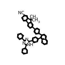 CC1(C)c2cc(C#N)ccc2-c2ccc(-c3ccc(-c4ccc5ccccc5c4-c4ccc(C5N=C(c6ccccc6)N=C(c6ccccc6)N5)cc4)cc3)cc21